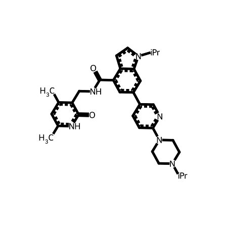 Cc1cc(C)c(CNC(=O)c2cc(-c3ccc(N4CCN(C(C)C)CC4)nc3)cc3c2ccn3C(C)C)c(=O)[nH]1